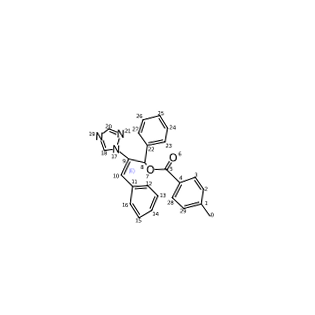 Cc1ccc(C(=O)OC(/C(=C\c2ccccc2)n2cncn2)c2ccccc2)cc1